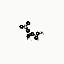 Cc1ccc2c(c1)c1cc(C)ccc1n2-c1ccc2c(c1)c1cc(C)ccc1n2-c1ccc(-c2nc(-c3ccccc3)nc(-c3ccccc3)n2)cc1